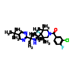 BC(B)(B)c1cnc(C(B)(B)NC(B)(B)C2(F)C(B)(B)CN(C(=O)c3ccc(F)c(Cl)c3)CC2(B)B)nc1